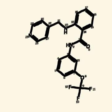 O=C(Nc1cccc(OC(F)(F)F)c1)c1ccccc1NCc1ccncc1